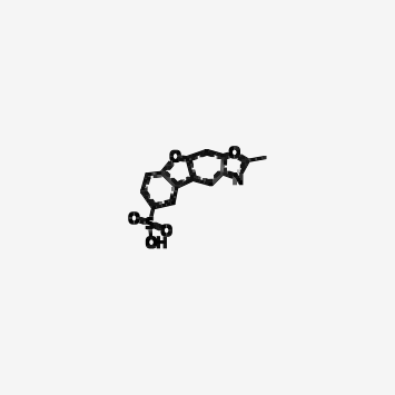 Cc1nc2cc3c(cc2o1)oc1ccc(S(=O)(=O)O)cc13